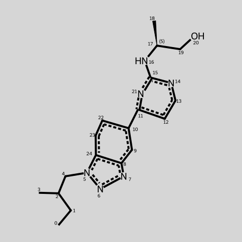 CCC(C)Cn1nnc2cc(-c3ccnc(N[C@@H](C)CO)n3)ccc21